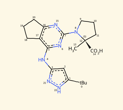 CC(C)(C)c1cc(Nc2nc(N3CCC[C@@]3(C)C(=O)O)nc3c2CCC3)n[nH]1